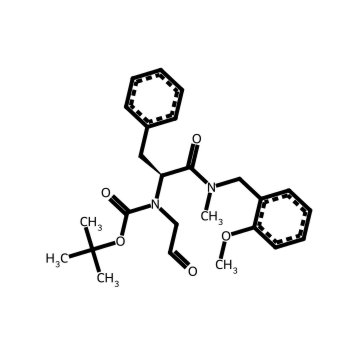 COc1ccccc1CN(C)C(=O)[C@H](Cc1ccccc1)N(CC=O)C(=O)OC(C)(C)C